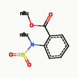 CCCCOC(=O)c1ccccc1N(CCCC)[SH](=O)=O